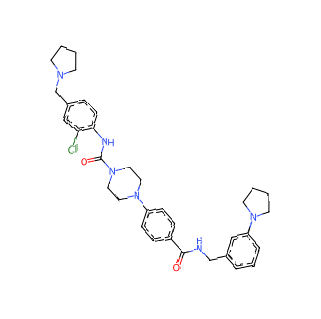 O=C(NCc1cccc(N2CCCC2)c1)c1ccc(N2CCN(C(=O)Nc3ccc(CN4CCCC4)cc3Cl)CC2)cc1